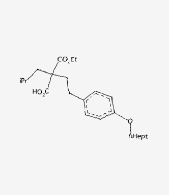 CCCCCCCOc1ccc(CCC(CC(C)C)(C(=O)O)C(=O)OCC)cc1